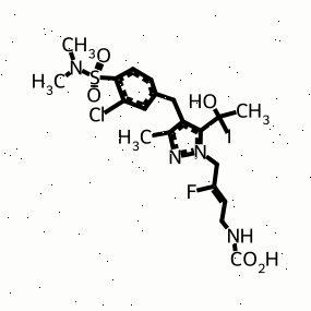 Cc1nn(CC(F)=CCNC(=O)O)c(C(C)(O)I)c1Cc1ccc(S(=O)(=O)N(C)C)c(Cl)c1